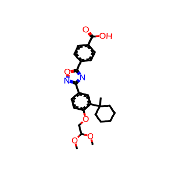 COC(COc1ccc(-c2noc(-c3ccc(C(=O)O)cc3)n2)cc1C1(C)CCCCC1)OC